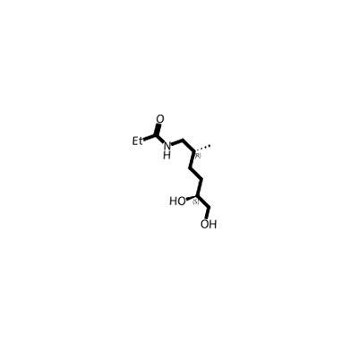 CCC(=O)NC[C@H](C)CC[C@H](O)CO